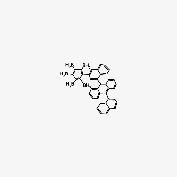 Bc1c(B)c(B)c(-c2cc(-c3c4ccccc4c(-c4cccc5ccccc45)c4ccccc34)c3ccccc3c2)c(B)c1B